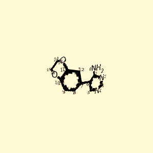 Nc1ncncc1-c1ccc2c(c1)OCCO2